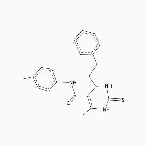 CC1=C(C(=O)Nc2ccc(C)cc2)C(CCc2ccccc2)NC(=S)N1